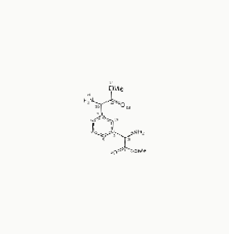 COC(=O)C(N)c1cccc(C(N)C(=O)OC)c1